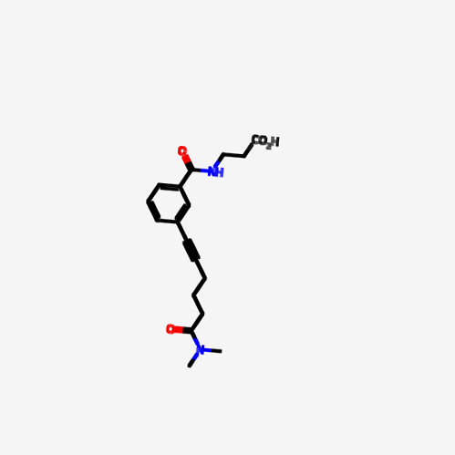 CN(C)C(=O)CCCC#Cc1cccc(C(=O)NCCC(=O)O)c1